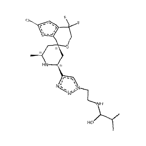 CC(C)C(O)NCCn1cc([C@@H]2C[C@]3(C[C@H](C)N2)OCC(F)(F)c2cc(Cl)sc23)nn1